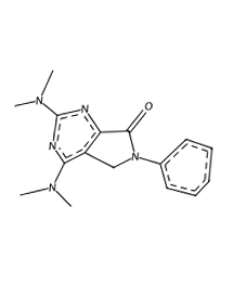 CN(C)c1nc2c(c(N(C)C)n1)CN(c1ccccc1)C2=O